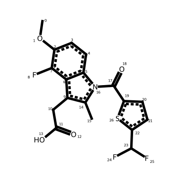 COc1ccc2c(c1F)c(CC(=O)O)c(C)n2C(=O)c1ccc(C(F)F)s1